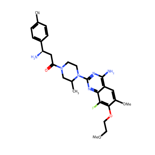 COCCOc1c(OC)cc2c(N)nc(N3CCN(C(=O)C[C@@H](N)c4ccc(C#N)cc4)CC3C)nc2c1F